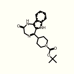 CC(C)(C)OC(=O)N1CCC(C2=NCC(=O)Nc3c2[nH]c2ccccc32)CC1